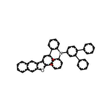 c1ccc(-c2ccc(N(c3ccccc3)c3ccccc3-c3ccc4oc5cc6ccccc6cc5c4c3)cc2-c2ccccc2)cc1